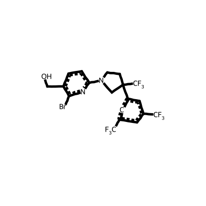 OCc1ccc(N2CCC(c3cc(C(F)(F)F)cc(C(F)(F)F)c3)(C(F)(F)F)C2)nc1Br